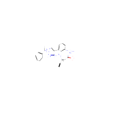 C#C[C@@H]1CC(=O)Nc2cccc(-c3cnn(C(C)c4ccccc4)c3)c2N1